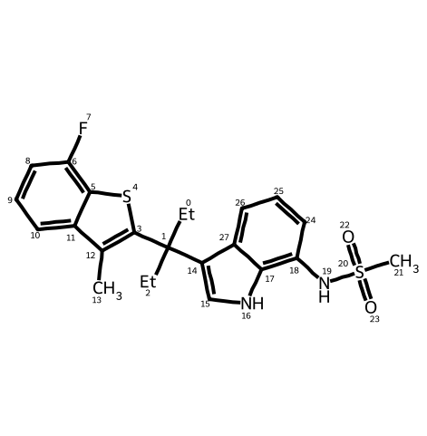 CCC(CC)(c1sc2c(F)cccc2c1C)c1c[nH]c2c(NS(C)(=O)=O)cccc12